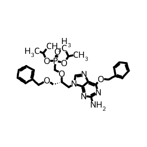 CC(C)OP(=O)(CO[C@@H](COCc1ccccc1)Cn1cnc2c(OCc3ccccc3)nc(N)nc21)OC(C)C